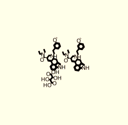 CCN(CC)C(=O)[C@@H]1C=C2c3cccc4[nH]cc(c34)C[C@H]2N(CCc2cccc(OC)c2)C1.CCN(CC)C(=O)[C@@H]1C=C2c3cccc4[nH]cc(c34)C[C@H]2N(CCc2cccc(OC)c2)C1.O=C(O)C(O)C(O)C(=O)O